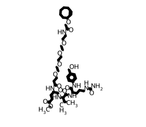 COC(=O)CCC(NC(=O)CCOCCOCCOCCOCCNC(=O)COC1C#CCCCCC1)C(=O)NC(C(=O)NC(CCCNC(N)=O)C(=O)Nc1ccc(CO)cc1)C(C)C